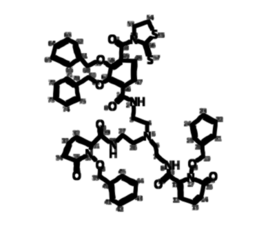 O=C(NCCN(CCNC(=O)c1cccc(=O)n1OCc1ccccc1)CCNC(=O)c1cccc(=O)n1OCc1ccccc1)c1ccc(C(=O)N2CCSC2=S)c(OCc2ccccc2)c1OCc1ccccc1